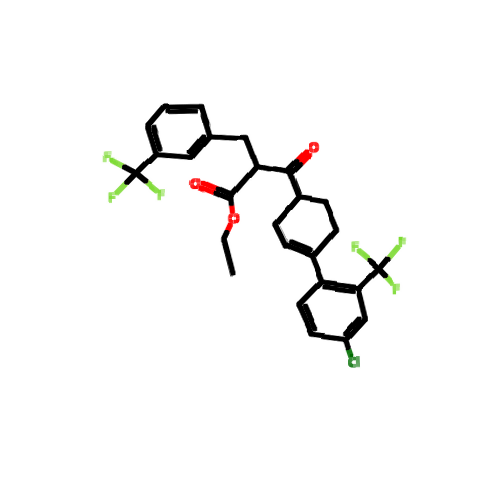 CCOC(=O)C(Cc1cccc(C(F)(F)F)c1)C(=O)C1CC=C(c2ccc(Cl)cc2C(F)(F)F)CC1